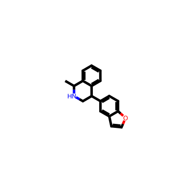 CC1NCC(c2ccc3occc3c2)c2ccccc21